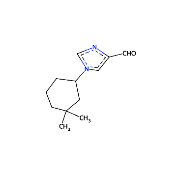 CC1(C)CCCC(n2cnc(C=O)c2)C1